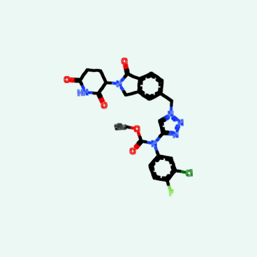 CC(C)(C)OC(=O)N(c1ccc(F)c(Cl)c1)c1cn(Cc2ccc3c(c2)CN(C2CCC(=O)NC2=O)C3=O)nn1